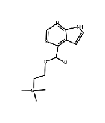 C[Si](C)(C)CCOC(Cl)c1ncnc2[nH]ccc12